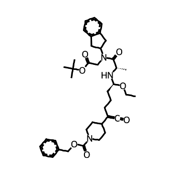 CCO[C@@H](CCCC(=C=O)C1CCN(C(=O)OCc2ccccc2)CC1)N[C@@H](C)C(=O)N(CC(=O)OC(C)(C)C)C1Cc2ccccc2C1